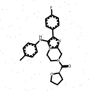 Cc1ccc(Nc2c(-c3ccc(F)cc3)nc3n2CCN(C(=O)[C@H]2CCCO2)C3)cc1